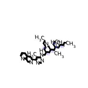 C\C=C/C(=C\C(C)=C\CC)C(/C)=C(C#N)/C=C(\C=C\CCC)CNc1ncnc(-c2cc3cccnc3cn2)c1C